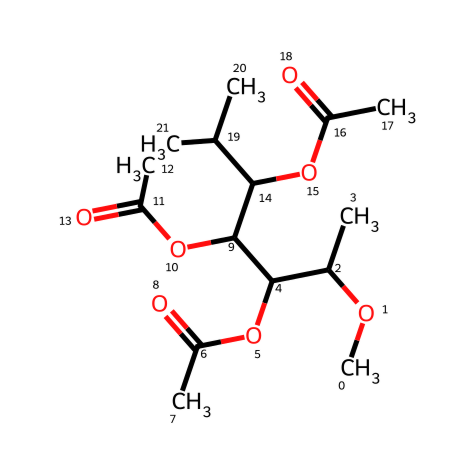 COC(C)C(OC(C)=O)C(OC(C)=O)C(OC(C)=O)C(C)C